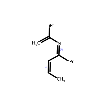 C=C(/N=C(\C=C/C)C(C)C)C(C)C